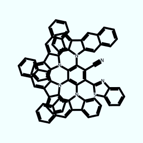 N#Cc1c(-c2nc3ccccc3s2)c(-n2c3ccccc3c3cc4ccccc4cc32)c(-n2c3ccccc3c3cc4ccccc4cc32)c(-n2c3ccccc3c3cc4ccccc4cc32)c1-n1c2ccccc2c2cc3ccccc3cc21